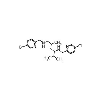 CC(CNCc1ccc(Br)cn1)CC(NCc1ccc(Cl)cn1)C(C)C